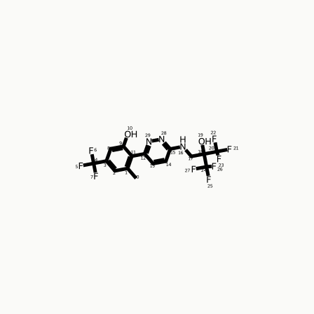 Cc1cc(C(F)(F)F)cc(O)c1-c1ccc(NCC(O)(C(F)(F)F)C(F)(F)F)nn1